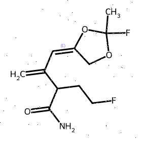 C=C(/C=C1\COC(C)(F)O1)C(CCF)C(N)=O